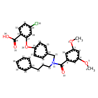 COc1cc(OC)cc(C(=O)N(CCCc2ccccc2)Cc2ccc(Oc3cc(Cl)ccc3C(=O)O)cc2)c1